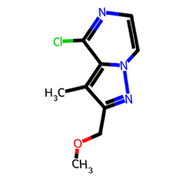 COCc1nn2ccnc(Cl)c2c1C